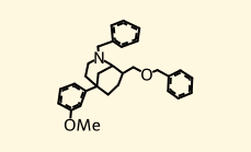 COc1cccc(C23CCC(COCc4ccccc4)C(C2)N(Cc2ccccc2)CC3)c1